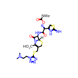 CNC(=O)ON=C(C(=O)NC1C(=O)N2C(C(=O)O)=C(CSc3nnnn3CCN(C)C)CS[C@@H]12)c1csc(=N)[nH]1